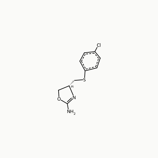 NC1=N[C@@H](CSc2ccc(Cl)cc2)CO1